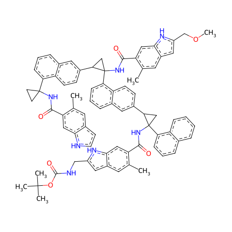 COCc1cc2cc(C)c(C(=O)NC3(c4cccc5cc(C6CC6(NC(=O)c6cc7[nH]c(CNC(=O)OC(C)(C)C)cc7cc6C)c6cccc7ccccc67)ccc45)CC3c3ccc4c(C5(NC(=O)c6cc7[nH]ccc7cc6C)CC5)cccc4c3)cc2[nH]1